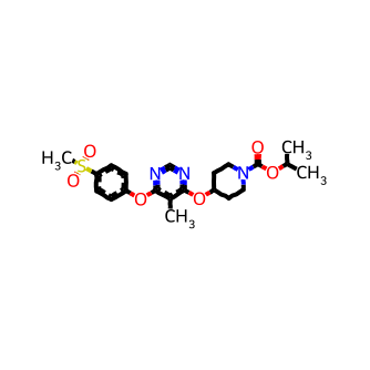 Cc1c(Oc2ccc(S(C)(=O)=O)cc2)ncnc1OC1CCN(C(=O)OC(C)C)CC1